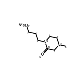 COCCCN1CCN(C)CC1=O